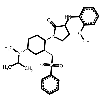 COc1ccccc1NC1CCN([C@H]2CC[C@@H](N(C)C(C)C)C[C@H]2CS(=O)(=O)c2ccccc2)C1=O